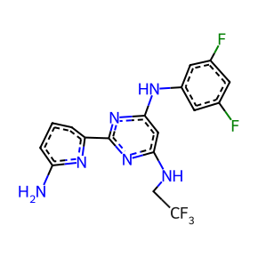 Nc1cccc(-c2nc(NCC(F)(F)F)cc(Nc3cc(F)cc(F)c3)n2)n1